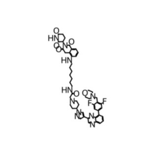 O=C(CN1CCC(n2cc(-c3cnc4cccc(-c5cc(F)c(CN6CCOCC6)c(F)c5)c4n3)cn2)CC1)NCCCCCCCNc1cccc2c1CC(=O)N(C1CCC(=O)NC1=O)C2=O